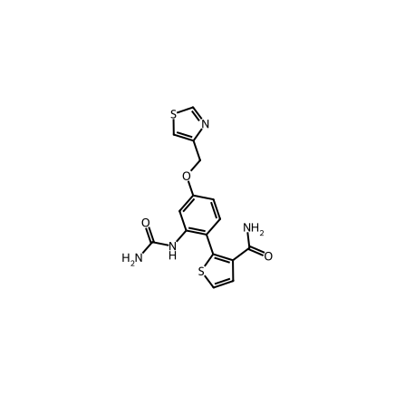 NC(=O)Nc1cc(OCc2cscn2)ccc1-c1sccc1C(N)=O